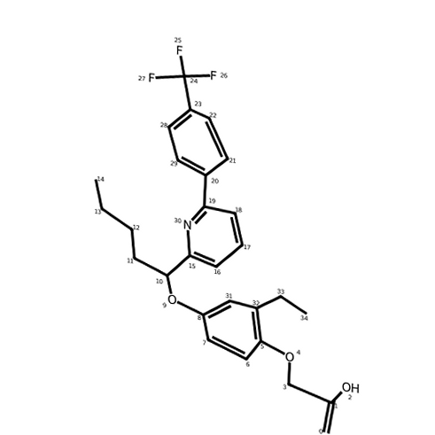 C=C(O)COc1ccc(OC(CCCC)c2cccc(-c3ccc(C(F)(F)F)cc3)n2)cc1CC